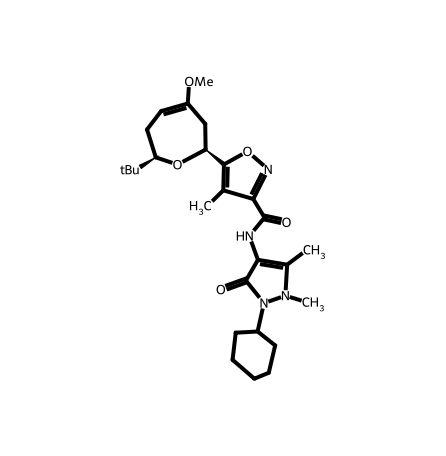 COC1=CC[C@H](C(C)(C)C)O[C@H](c2onc(C(=O)Nc3c(C)n(C)n(C4CCCCC4)c3=O)c2C)C1